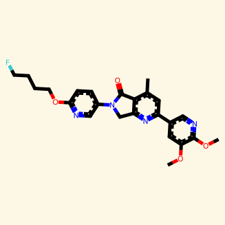 COc1cc(-c2cc(C)c3c(n2)CN(c2ccc(OCCCCF)nc2)C3=O)cnc1OC